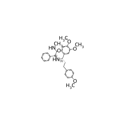 CNC(=O)[C@@H](N[C@@H](CCc1ccc(OC)cc1)c1ccc(OC)c(OC)c1)c1ccccc1